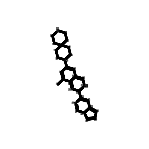 Cc1cc(N2CCC3(CCOCC3)CC2)cc2c1=NC(c1cc3cccn3cn1)NC=2